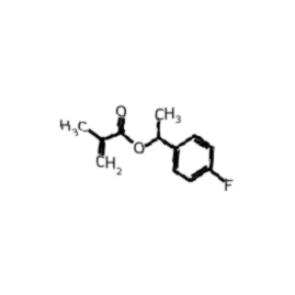 C=C(C)C(=O)OC(C)c1ccc(F)cc1